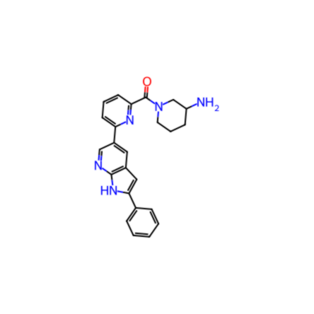 NC1CCCN(C(=O)c2cccc(-c3cnc4[nH]c(-c5ccccc5)cc4c3)n2)C1